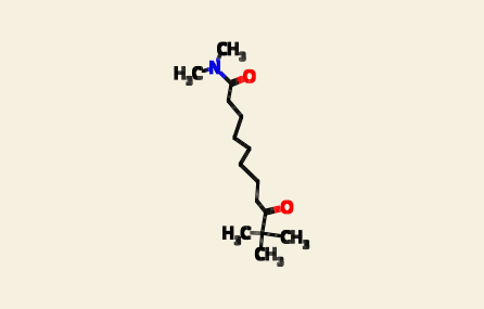 CN(C)C(=O)CCCCCCCC(=O)C(C)(C)C